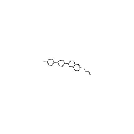 C=CCCc1ccc2cc(-c3ccc(-c4ccc(C)cc4)cc3)ccc2c1